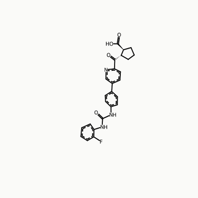 O=C(Nc1ccc(-c2ccc(C(=O)[C@H]3CCC[C@@H]3C(=O)O)nc2)cc1)Nc1ccccc1F